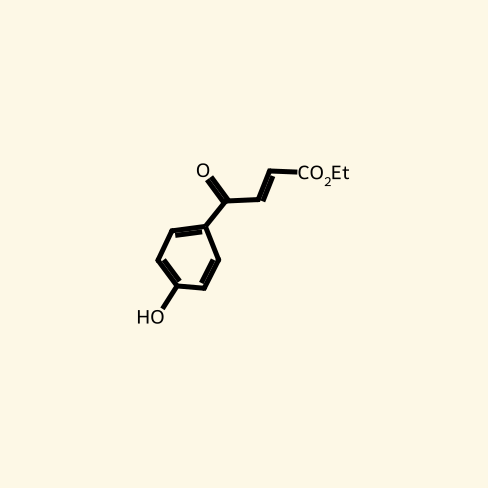 CCOC(=O)C=CC(=O)c1ccc(O)cc1